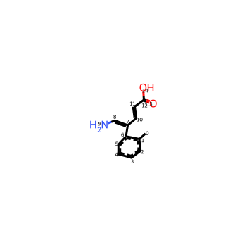 Cc1ccccc1C(=C\N)/C=C/C(=O)O